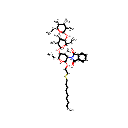 CCCCCCCCCCCCCCCCCCSCCO[C@@H]1O[C@H](COC(C)=O)[C@@H](O[C@@H]2O[C@H](COC(C)=O)[C@H](O[C@H]3O[C@H](COC(C)=O)[C@H](OC(C)=O)[C@H](OC(C)=O)[C@H]3OC(C)=O)[C@H](OC(C)=O)[C@H]2OC(C)=O)[C@H](OC(C)=O)[C@H]1N1C(=O)c2ccccc2C1=O